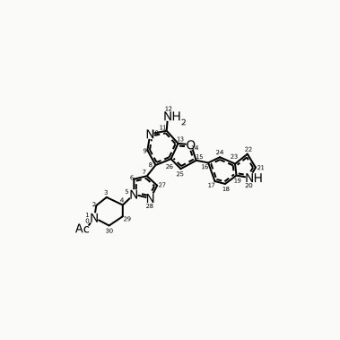 CC(=O)N1CCC(n2cc(-c3cnc(N)c4oc(-c5ccc6[nH]ccc6c5)cc34)cn2)CC1